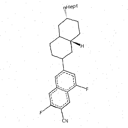 CCCCCCC[C@@H]1CC[C@@H]2CC(c3cc(F)c4cc(C#N)c(F)cc4c3)CCC2C1